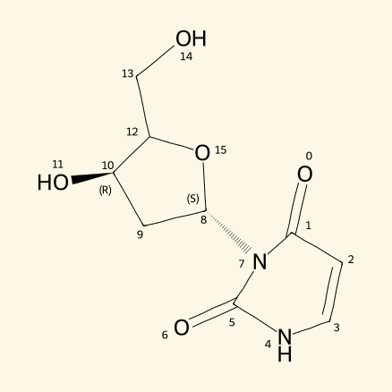 O=c1cc[nH]c(=O)n1[C@@H]1C[C@@H](O)C(CO)O1